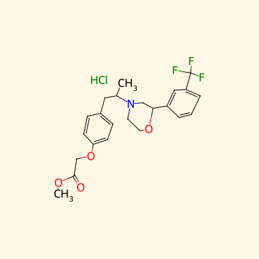 COC(=O)COc1ccc(CC(C)N2CCOC(c3cccc(C(F)(F)F)c3)C2)cc1.Cl